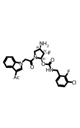 CC(=O)c1cn(CC(=O)N2C[C@@H](N)[C@H](F)[C@H]2OC(=O)NCc2cccc(Cl)c2F)c2ccccc12